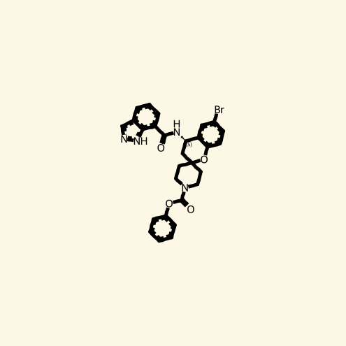 O=C(N[C@H]1CC2(CCN(C(=O)Oc3ccccc3)CC2)Oc2ccc(Br)cc21)c1cccc2cn[nH]c12